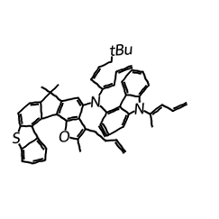 C=C/C=C(\C=C/CC(C)(C)C)N(c1cc2c(c3oc(C)c(CCC=C)c13)-c1c(ccc3sc4ccccc4c13)C2(C)C)c1c#ccc2c1c1ccccc1n2/C(C)=C/C=C